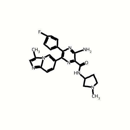 Cc1cnc2ccc(-c3nc(C(=O)NC4CCN(C)C4)c(N)nc3-c3ccc(F)cc3)cn12